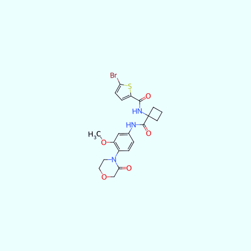 COc1cc(NC(=O)C2(NC(=O)c3ccc(Br)s3)CCC2)ccc1N1CCOCC1=O